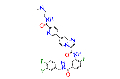 CN(C)CCNC(=O)c1ccc(-c2ccn3c(C(=O)Nc4cc(C(=O)NCc5ccc(F)c(F)c5)ccc4F)cnc3c2)cn1